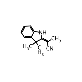 CC(C#N)=C1Nc2ccccc2C1(C)C